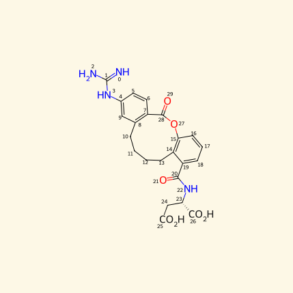 N=C(N)Nc1ccc2c(c1)CCCCc1c(cccc1C(=O)N[C@@H](CC(=O)O)C(=O)O)OC2=O